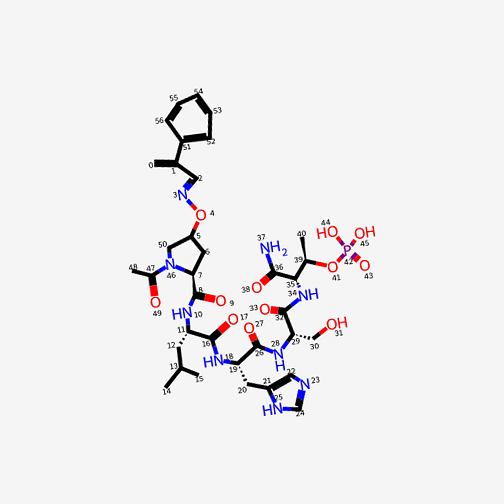 C=C(/C=N/OC1C[C@@H](C(=O)N[C@@H](CC(C)C)C(=O)N[C@@H](Cc2cnc[nH]2)C(=O)N[C@@H](CO)C(=O)N[C@H](C(N)=O)[C@@H](C)OP(=O)(O)O)N(C(C)=O)C1)c1ccccc1